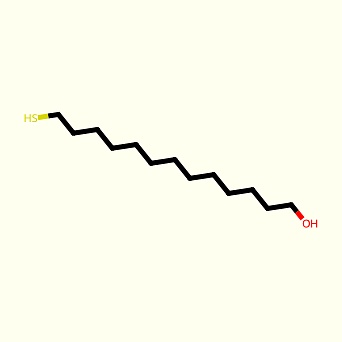 OCCCCCCCCCCCCCS